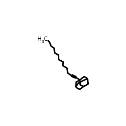 CCCCCCCCCCCC#CC12CC3CC(CC(C3)C1)C2